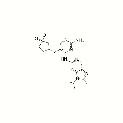 Cc1nc2cnc(Nc3nc(N)ncc3CC3CCS(=O)(=O)C3)cc2n1C(C)C